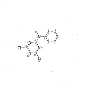 CN(c1ccccc1)c1nc(Cl)nc(Cl)n1